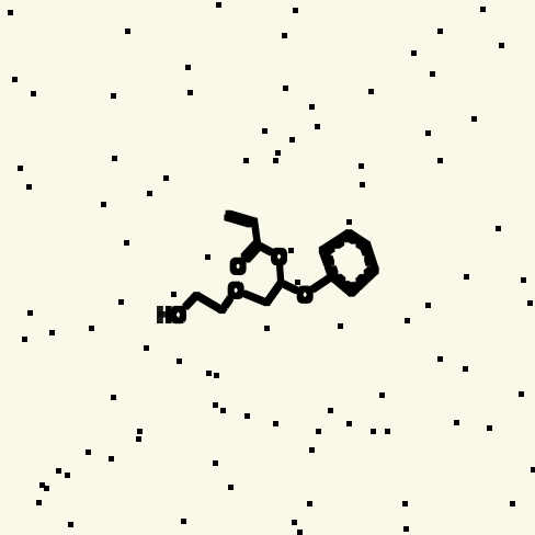 C=CC(=O)OC(COCCO)Oc1ccccc1